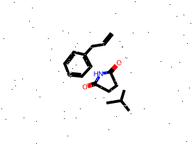 C=CCc1ccccc1.CC(C)C.O=C1CCC(=O)N1